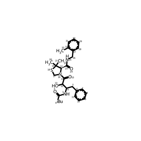 CCC(C)C(=O)NC(Cc1ccccc1)C(O)C(=O)N1CSC(C)(C)[C@H]1C(=O)NCc1ccccc1C